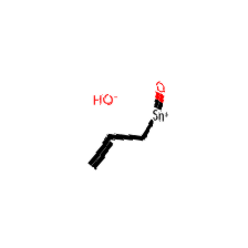 C=C[CH2][Sn+]=[O].[OH-]